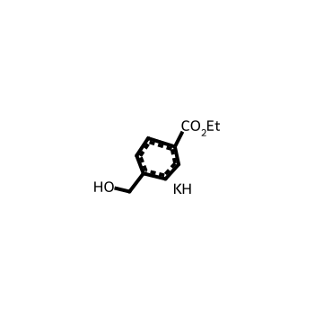 CCOC(=O)c1ccc(CO)cc1.[KH]